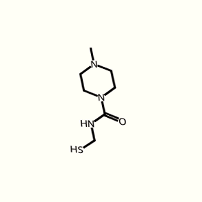 CN1CCN(C(=O)NCS)CC1